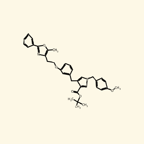 COc1ccc(Cn2cc(Cc3cccc(OCCc4nc(-c5ccccc5)oc4C)c3)c(C(=O)OC(C)(C)C)c2)cc1